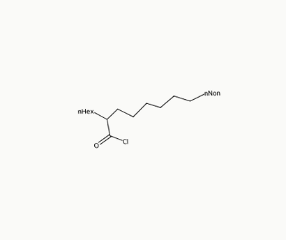 CCCCCCCCCCCCCCCC(CCCCCC)C(=O)Cl